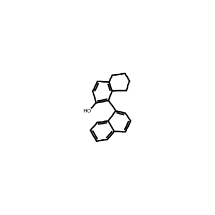 Oc1ccc2c(c1-c1cccc3ccccc13)CCCC2